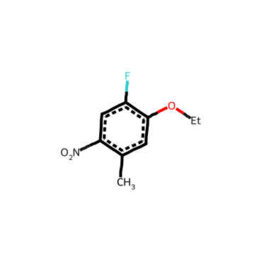 CCOc1cc(C)c([N+](=O)[O-])cc1F